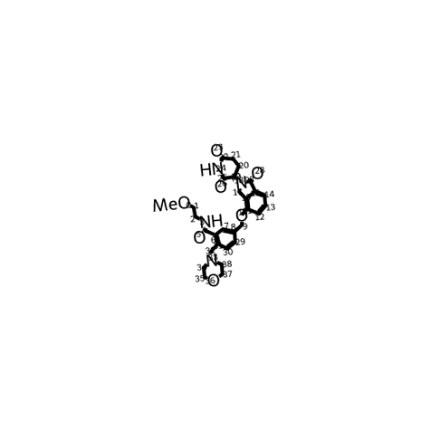 COCCNC(=O)c1cc(COc2cccc3c2CN([C@H]2CCC(=O)NC2=O)C3=O)ccc1CN1CCOCC1